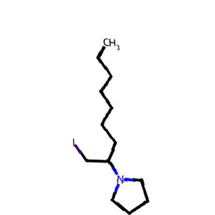 CCCCCCCC(CI)N1CCCC1